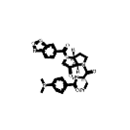 CC(C)C[C@H](NC(=O)c1ccc(N(C)C)cc1)C(=O)N1CC[C@@H]2[C@H]1C(=O)CN2C(=O)c1ccc2nonc2c1